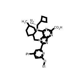 CCOc1cc(C(C)C)cc(-c2nc3nc(C(=O)O)nc(N[C@H](C)C4CCC4)c3n2CC2CCC(C)CC2)n1